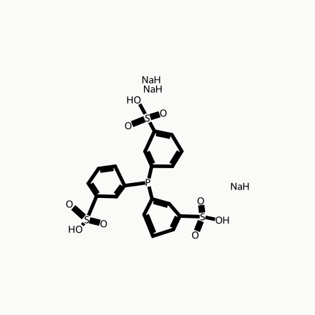 O=S(=O)(O)c1cccc(P(c2cccc(S(=O)(=O)O)c2)c2cccc(S(=O)(=O)O)c2)c1.[NaH].[NaH].[NaH]